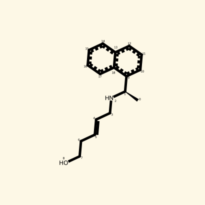 C[C@@H](NC/C=C/CCO)c1cccc2ccccc12